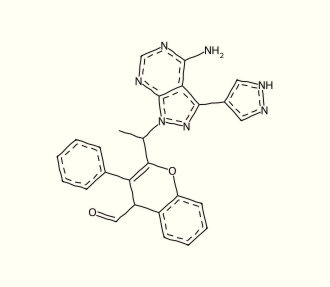 CC(C1=C(c2ccccc2)C(C=O)c2ccccc2O1)n1nc(-c2cn[nH]c2)c2c(N)ncnc21